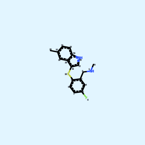 CNCc1cc(F)ccc1Sc1c[nH]c2ccc(C)cc12